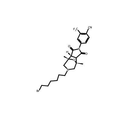 C[C@]12CN(CCCCCCBr)C[C@](C)(O1)C1C(=O)N(c3ccc(C#N)c(C(F)(F)F)c3)C(=O)[C@H]12